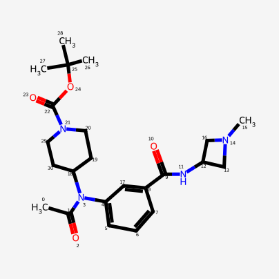 CC(=O)N(c1cccc(C(=O)NC2CN(C)C2)c1)C1CCN(C(=O)OC(C)(C)C)CC1